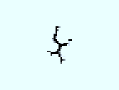 FCC(F)C(F)F